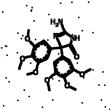 COc1cc(C2(c3cc(OC)c(OC)c(OC)c3)N=C(N)NC2=O)cc(OC)c1OC